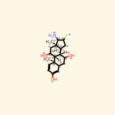 C[C@]12C=CC(O)=CC1CC(O)[C@@H]1[C@H]2C(O)C[C@]2(C)C(N)C(F)C[C@@H]12